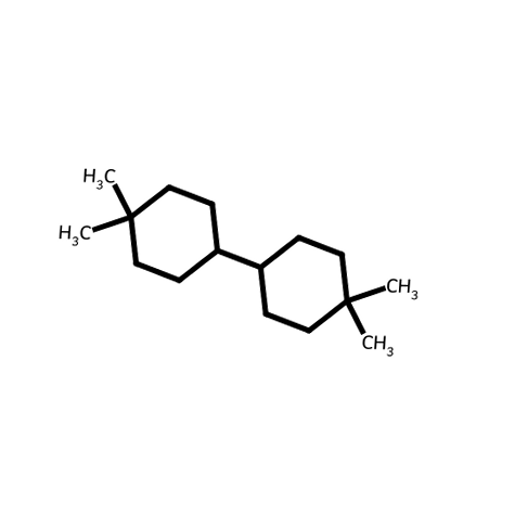 CC1(C)CCC(C2CCC(C)(C)CC2)CC1